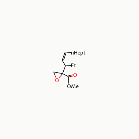 CCCCCCC/C=C\C(CC)C1(C(=O)OC)CO1